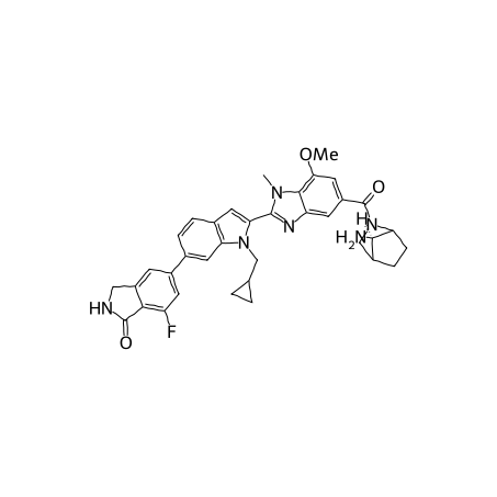 COc1cc(C(=O)N2CC3CCC2[C@@H]3N)cc2nc(-c3cc4ccc(-c5cc(F)c6c(c5)CNC6=O)cc4n3CC3CC3)n(C)c12